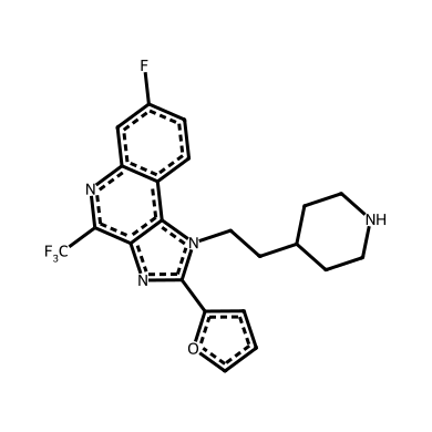 Fc1ccc2c(c1)nc(C(F)(F)F)c1nc(-c3ccco3)n(CCC3CCNCC3)c12